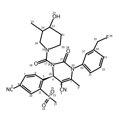 CC1=C(C#N)[C@@H](c2ccc(C#N)cc2S(C)(=O)=O)N(C(=O)N2CCC(O)C(C)C2)C(=O)N1c1cccc(CF)c1